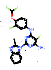 Cc1nc2ccccc2n1-c1nc(N)c(F)c(Nc2ccc(OC(F)F)c(F)c2)n1